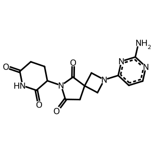 Nc1nccc(N2CC3(CC(=O)N(C4CCC(=O)NC4=O)C3=O)C2)n1